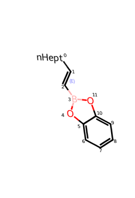 CCCCCCC/C=C/B1Oc2ccccc2O1